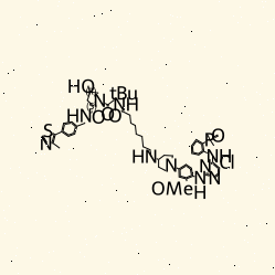 COc1cc(N2CCC(NCCCCCCCC(=O)NC(C(=O)N3C[C@H](O)C[C@H]3C(=O)NCc3ccc(-c4scnc4C)cc3)C(C)(C)C)CC2)ccc1Nc1ncc(Cl)c(Nc2ccccc2P(C)(C)=O)n1